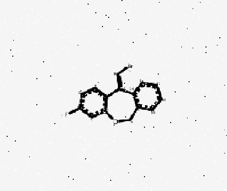 Fc1ccc2c(c1)OCc1ccccc1/C2=C\Br